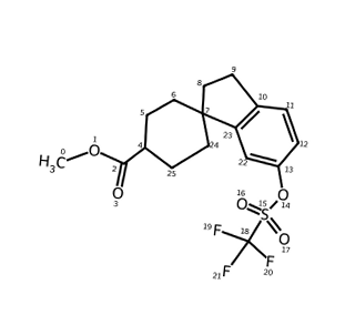 COC(=O)C1CCC2(CCc3ccc(OS(=O)(=O)C(F)(F)F)cc32)CC1